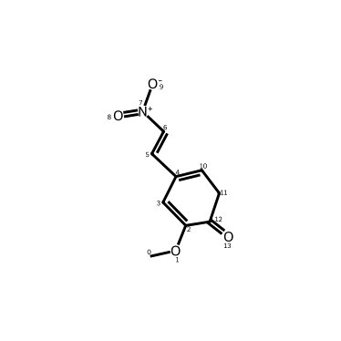 COC1=CC(C=C[N+](=O)[O-])=CCC1=O